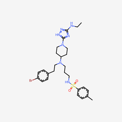 CCNc1n[nH]c(N2CCC(N(CCCNS(=O)(=O)c3ccc(C)cc3)CCc3ccc(Br)cc3)CC2)n1